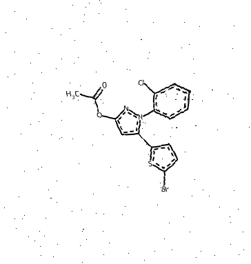 CC(=O)Oc1cc(-c2ccc(Br)s2)n(-c2ccccc2Cl)n1